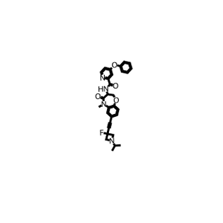 CC(C)N1CC(F)(C#Cc2ccc3c(c2)N(C)C(=O)C(NC(=O)c2cc(Oc4ccccc4)ccn2)CO3)C1